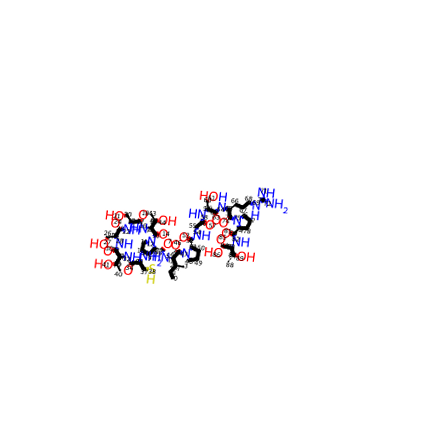 CC[C@H](C)[C@H](NC(=O)[C@@H]1CCCN1C(=O)[C@@H](NC(=O)[C@H](CO)NC(=O)[C@H](CO)NC(=O)[C@@H](NC(=O)[C@@H](N)CS)[C@@H](C)O)[C@@H](C)O)C(=O)N1CCC[C@H]1C(=O)NCC(=O)N[C@@H](CO)C(=O)N[C@@H](CCCNC(=N)N)C(=O)N1CCC[C@H]1C(=O)N[C@H](C(=O)O)[C@@H](C)O